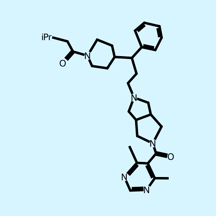 Cc1ncnc(C)c1C(=O)N1CC2CN(CCC(c3ccccc3)C3CCN(C(=O)CC(C)C)CC3)CC2C1